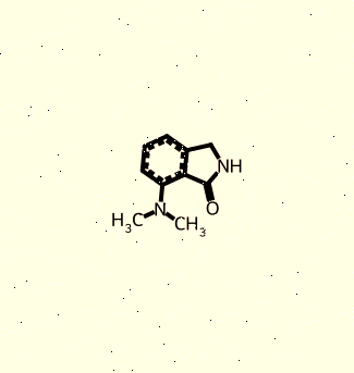 CN(C)c1cccc2c1C(=O)NC2